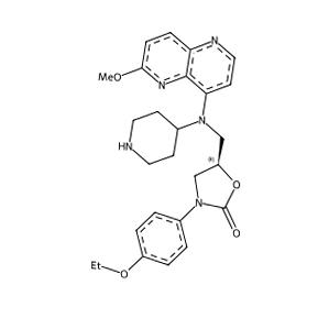 CCOc1ccc(N2C[C@@H](CN(c3ccnc4ccc(OC)nc34)C3CCNCC3)OC2=O)cc1